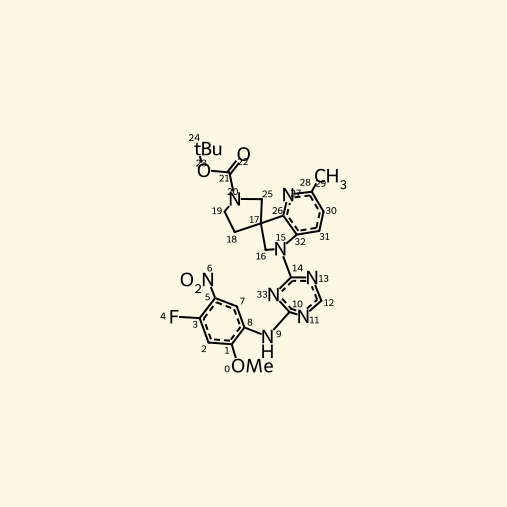 COc1cc(F)c([N+](=O)[O-])cc1Nc1ncnc(N2CC3(CCN(C(=O)OC(C)(C)C)C3)c3nc(C)ccc32)n1